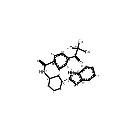 C=C(NC1CCC[C@@H](c2nc3ccccc3[nH]2)C1)c1ccc(C(=O)C(F)(F)F)cc1